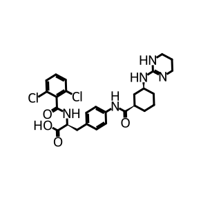 O=C(N[C@@H](Cc1ccc(NC(=O)[C@@H]2CCC[C@H](NC3=NCCCN3)C2)cc1)C(=O)O)c1c(Cl)cccc1Cl